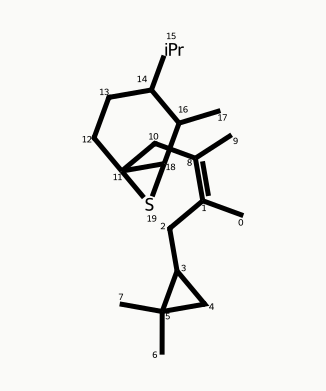 C/C(CC1CC1(C)C)=C(\C)CC12CCC(C(C)C)C(C)C1S2